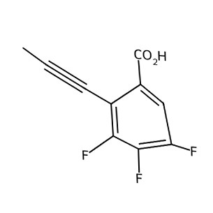 CC#Cc1c(C(=O)O)cc(F)c(F)c1F